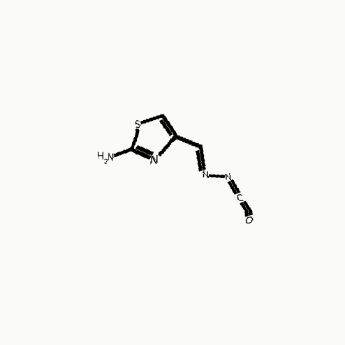 Nc1nc(/C=N/N=C=O)cs1